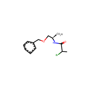 CC(Br)C(=O)N[C@@H](COCc1ccccc1)C(=O)O